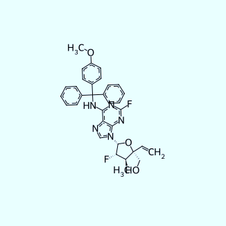 C=C[C@]1(CO)O[C@@H](n2cnc3c(NC(c4ccccc4)(c4ccccc4)c4ccc(OC)cc4)nc(F)nc32)[C@@H](F)[C@@H]1C